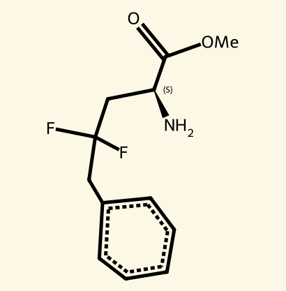 COC(=O)[C@@H](N)CC(F)(F)Cc1ccccc1